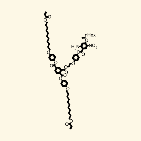 C=CC(=O)OCCCCCCCCCCCOc1ccc(OC(=O)c2ccc(C(=O)Oc3ccc(OCCCCCCCCCCCOC(=O)C=C)cc3)c(C(=O)OCCOc3ccc(OC(=O)c4cc([N+](=O)[O-])c(O[C@@H](C)CCCCCC)cc4N)cc3)c2)cc1